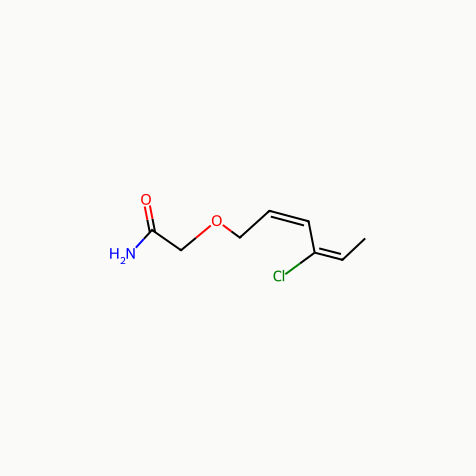 C/C=C(Cl)\C=C/COCC(N)=O